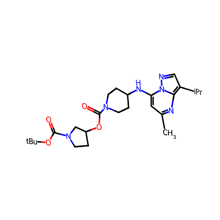 Cc1cc(NC2CCN(C(=O)OC3CCN(C(=O)OC(C)(C)C)C3)CC2)n2ncc(C(C)C)c2n1